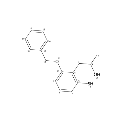 CC(O)Cc1c(S)cccc1OCc1ccccc1